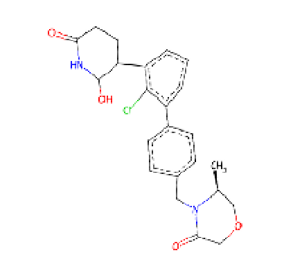 C[C@H]1COCC(=O)N1Cc1ccc(-c2cccc(C3CCC(=O)NC3O)c2Cl)cc1